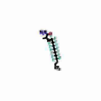 CC([Te]C(F)(F)C(F)(F)C(F)(F)C(F)(F)C(F)(F)C(F)(F)C(F)(F)CCC(F)(F)F)C(N)=O